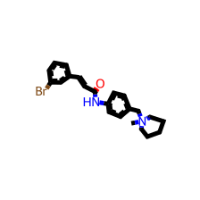 C[N+]1(Cc2ccc(NC(=O)C=Cc3cccc(Br)c3)cc2)CCCCC1